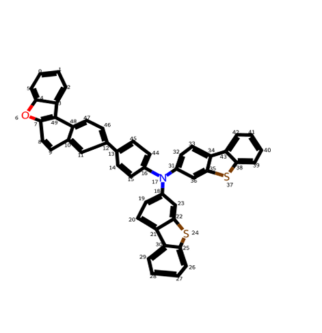 c1ccc2c(c1)oc1ccc3cc(-c4ccc(N(c5ccc6c(c5)sc5ccccc56)c5ccc6c(c5)sc5ccccc56)cc4)ccc3c12